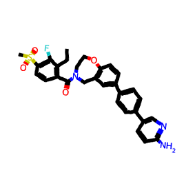 CCc1c(C(=O)N2CCOc3ccc(-c4ccc(-c5ccc(N)nc5)cc4)cc3C2)ccc(S(C)(=O)=O)c1F